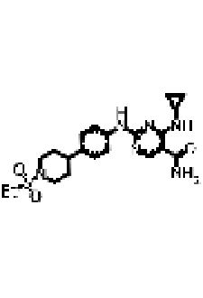 CCS(=O)(=O)N1CCC(c2ccc(Nc3ncc(C(N)=O)c(NC4CC4)n3)cc2)CC1